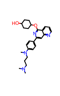 CN(C)CCCN(C)c1ccc(-c2cc3ncccc3c(OC3CCC(O)CC3)n2)cc1